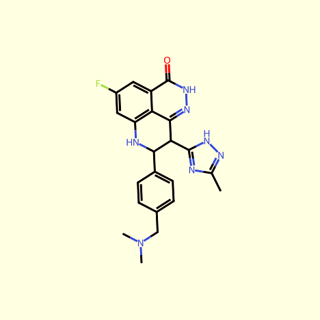 Cc1n[nH]c(C2c3n[nH]c(=O)c4cc(F)cc(c34)NC2c2ccc(CN(C)C)cc2)n1